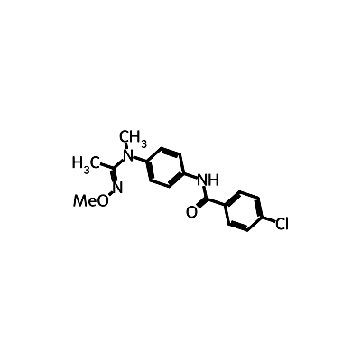 CON=C(C)N(C)c1ccc(NC(=O)c2ccc(Cl)cc2)cc1